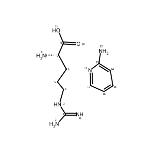 N=C(N)NCCC[C@H](N)C(=O)O.Nc1ccccn1